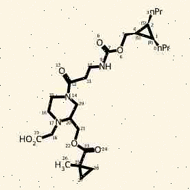 CCC[C@@H]1[C@H](CCC)[C@@H]1COC(=O)NCCC(=O)N1CCN(CC(=O)O)C(COC(=O)C2(C)CC2)C1